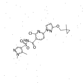 Cc1c(S(=O)(=O)NC(=O)c2ccc(-n3ccc(OCC4(C)CC4)n3)nc2Cl)cnn1C